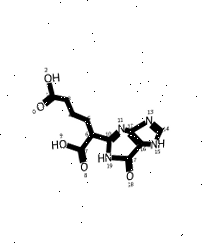 O=C(O)CCCC(C(=O)O)c1nc2nc[nH]c2c(=O)[nH]1